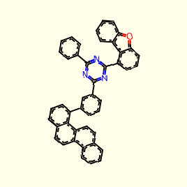 c1ccc(-c2nc(-c3cccc(-c4cccc5ccc6c7ccccc7ccc6c45)c3)nc(-c3cccc4oc5ccccc5c34)n2)cc1